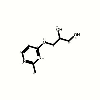 Cc1nccc(OCC(O)CO)n1